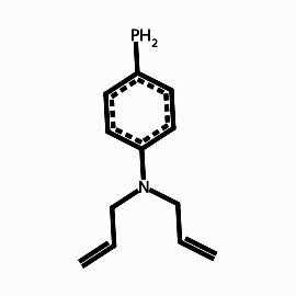 C=CCN(CC=C)c1ccc(P)cc1